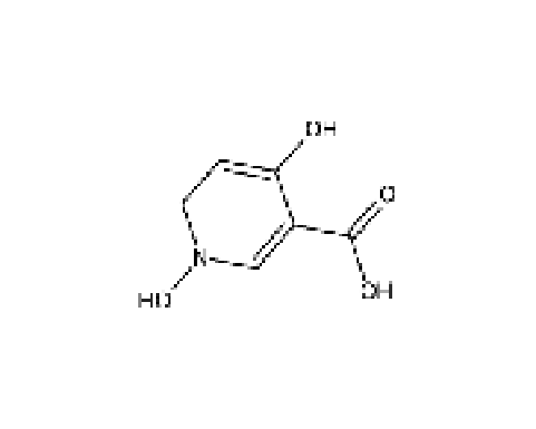 O=C(O)C1=CN(O)CC=C1O